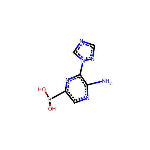 Nc1ncc(B(O)O)nc1-n1cncn1